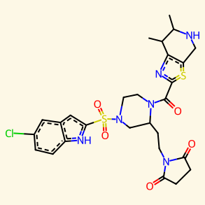 CC1NCc2sc(C(=O)N3CCN(S(=O)(=O)c4cc5cc(Cl)ccc5[nH]4)CC3CCN3C(=O)CCC3=O)nc2C1C